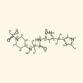 Cc1ncc(C(C)(C)c2cc(NC(=O)C(C)(C)N(C)C3CCN(S(C)(=O)=O)CC3)on2)s1